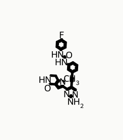 Cn1c(-c2nc(N)ncc2C#Cc2cccc(NC(=O)Nc3ccc(F)cc3)c2)cc2c1CCNC2=O